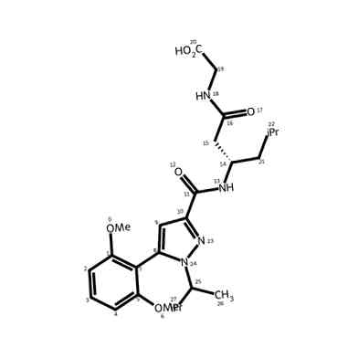 COc1cccc(OC)c1-c1cc(C(=O)N[C@H](CC(=O)NCC(=O)O)CC(C)C)nn1C(C)C(C)C